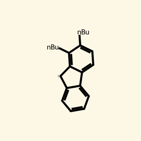 CCCCc1ccc2c(c1CCCC)[C]c1ccccc1-2